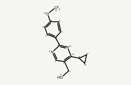 OCc1cnc(-c2ccc(OC(F)(F)F)cc2)nc1C1CC1